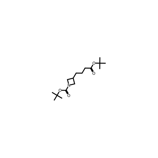 CC(C)(C)OC(=O)CCCC1CN(C(=O)OC(C)(C)C)C1